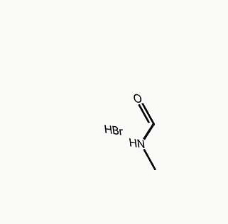 Br.CNC=O